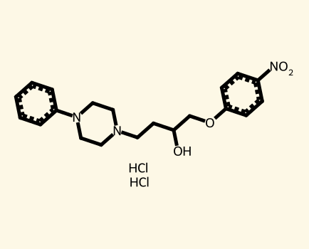 Cl.Cl.O=[N+]([O-])c1ccc(OCC(O)CCN2CCN(c3ccccc3)CC2)cc1